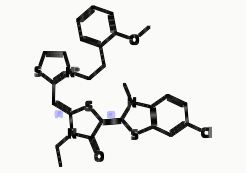 CCn1c(=O)/c(=C2\Sc3cc(Cl)ccc3N2C)s/c1=C\c1scc[n+]1CCc1ccccc1OC